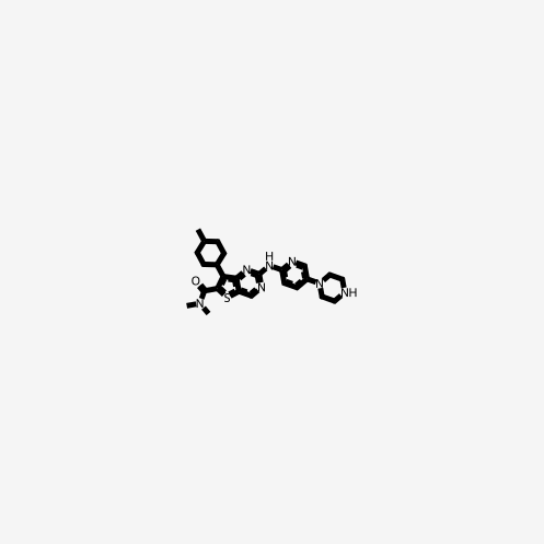 CC1CCC(c2c(C(=O)N(C)C)sc3cnc(Nc4ccc(N5CCNCC5)cn4)nc23)CC1